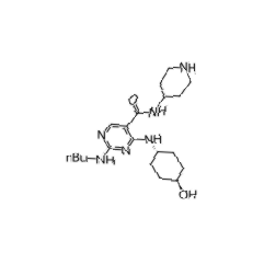 CCCCNc1ncc(C(=O)NC2CCNCC2)c(N[C@H]2CC[C@H](O)CC2)n1